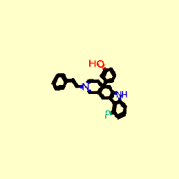 Oc1cccc(C23CCN(CCc4ccccc4)CC2Cc2c([nH]c4cccc(F)c24)C3)c1